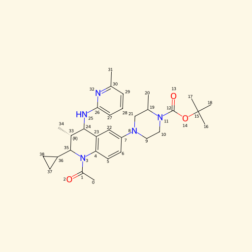 CC(=O)N1c2ccc(N3CCN(C(=O)OC(C)(C)C)C(C)C3)cc2C(Nc2cccc(C)n2)[C@@H](C)C1C1CC1